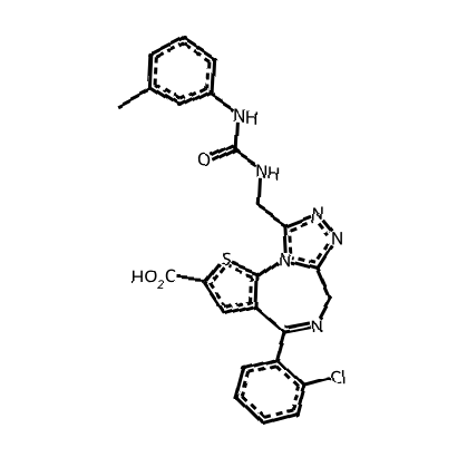 Cc1cccc(NC(=O)NCc2nnc3n2-c2sc(C(=O)O)cc2C(c2ccccc2Cl)=NC3)c1